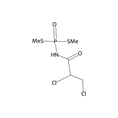 CSP(=O)(NC(=O)C(Cl)CCl)SC